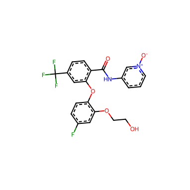 O=C(Nc1ccc[n+]([O-])c1)c1ccc(C(F)(F)F)cc1Oc1ccc(F)cc1OCCO